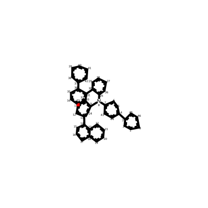 c1ccc(-c2ccc(N(c3cccc(-c4cccc5ccccc45)c3)c3ccccc3-c3ccccc3-c3ccccc3)cc2)cc1